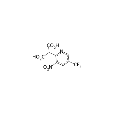 O=C(O)C(C(=O)O)c1ncc(C(F)(F)F)cc1[N+](=O)[O-]